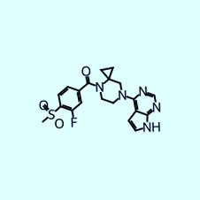 CS(=O)(=O)c1ccc(C(=O)N2CCN(c3ncnc4[nH]ccc34)CC23CC3)cc1F